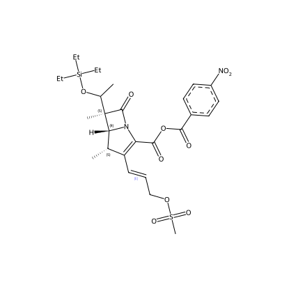 CC[Si](CC)(CC)OC(C)[C@@]1(C)C(=O)N2C(C(=O)OC(=O)c3ccc([N+](=O)[O-])cc3)=C(/C=C/COS(C)(=O)=O)[C@H](C)[C@@H]21